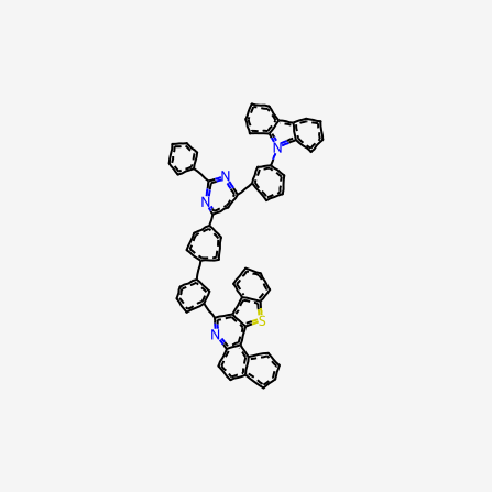 c1ccc(-c2nc(-c3ccc(-c4cccc(-c5nc6ccc7ccccc7c6c6sc7ccccc7c56)c4)cc3)cc(-c3cccc(-n4c5ccccc5c5ccccc54)c3)n2)cc1